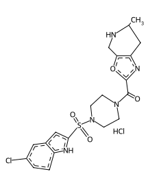 CC1Cc2nc(C(=O)N3CCN(S(=O)(=O)c4cc5cc(Cl)ccc5[nH]4)CC3)oc2CN1.Cl